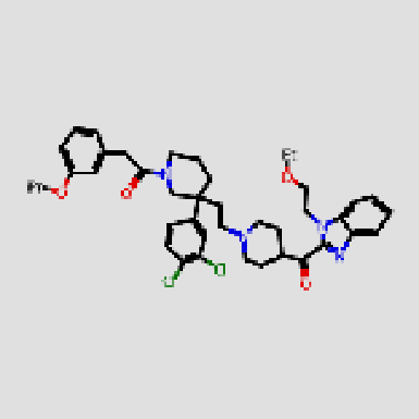 CCOCCn1c(C(=O)C2CCN(CCC3(c4ccc(Cl)c(Cl)c4)CCCN(C(=O)Cc4cccc(OC(C)C)c4)C3)CC2)nc2ccccc21